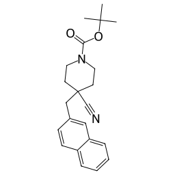 CC(C)(C)OC(=O)N1CCC(C#N)(Cc2ccc3ccccc3c2)CC1